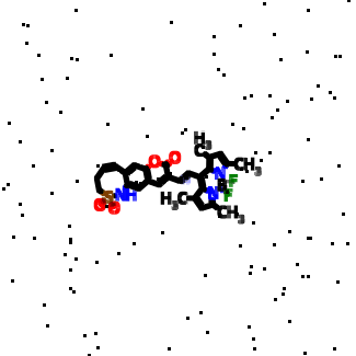 CC1=CC(C)=[N+]2C1=C(/C=C/c1cc3cc4c(cc3oc1=O)C#CCCS(=O)(=O)N4)c1c(C)cc(C)n1[B-]2(F)F